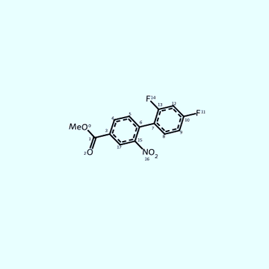 COC(=O)c1ccc(-c2ccc(F)cc2F)c([N+](=O)[O-])c1